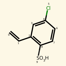 C=Cc1cc(Cl)ccc1S(=O)(=O)O